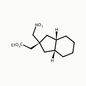 CCOC(=O)C[C@]1(C[N+](=O)[O-])C[C@H]2CCCC[C@H]2C1